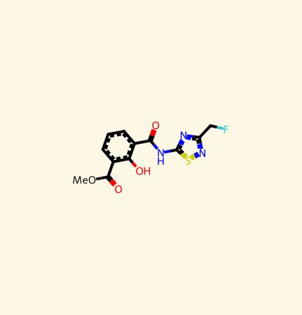 COC(=O)c1cccc(C(=O)Nc2nc(CF)ns2)c1O